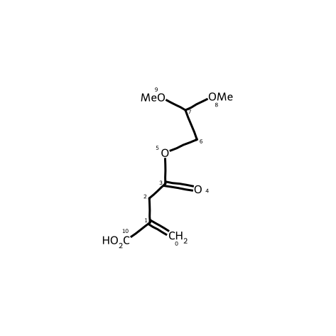 C=C(CC(=O)OCC(OC)OC)C(=O)O